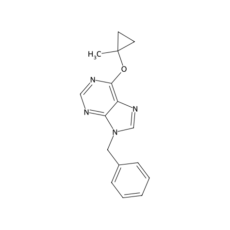 CC1(Oc2ncnc3c2ncn3Cc2ccccc2)CC1